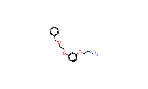 NCCOc1c#ccc(OCCOCc2ccccc2)c1